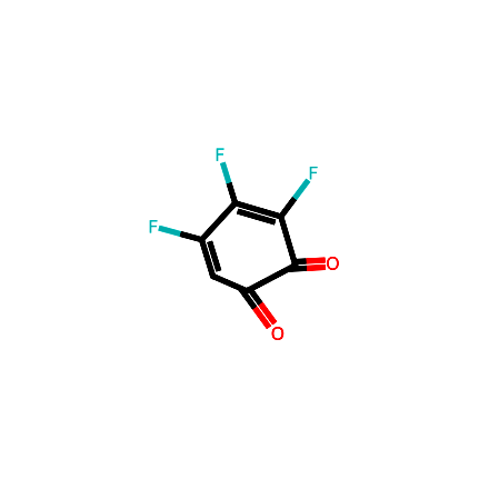 O=C1C=C(F)C(F)=C(F)C1=O